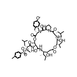 CC[C@H](C)[C@H]1NC(=O)[C@@H](NC(=O)[C@@H](CC(C)C)N(C)S(=O)(=O)c2ccc(C)cc2)[C@@H](C)OC(=O)[C@H](Cc2ccc(OC)cc2)N(C)C(=O)[C@@H]2CCCN2C(=O)[C@H](CC(C)C)NC(O)[C@H](C(C)C)OC(=O)C[C@@H]1O